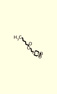 CCCCCC(=O)OCCN1CCS(=O)(=O)CC1